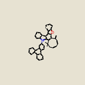 C=C1/C=C\C=C/CC(C)(C)c2c1c1oc3ccccc3c1c1c3ccccc3n(-c3ccc4c5ccccc5c5ccccc5c4c3)c21